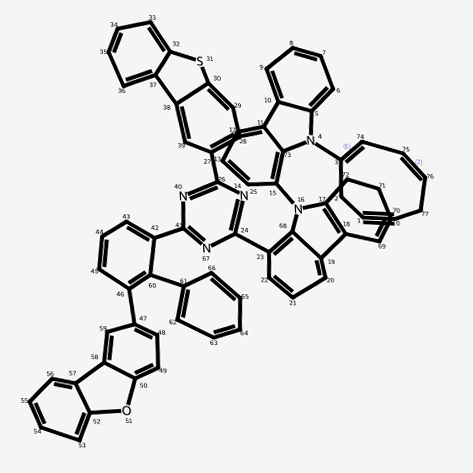 C1#CC/C(n2c3ccccc3c3cccc(-n4c5c(c6cccc(-c7nc(-c8ccc9sc%10ccccc%10c9c8)nc(-c8cccc(-c9ccc%10oc%11ccccc%11c%10c9)c8-c8ccccc8)n7)c64)C=CCC5)c32)=C\C=C/C1